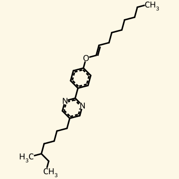 CCCCCCCC=COc1ccc(-c2ncc(CCCCC(C)CC)cn2)cc1